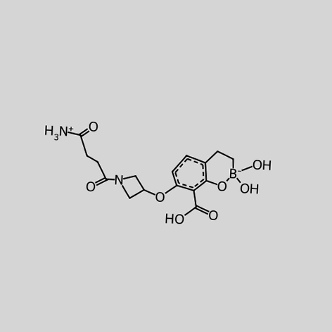 [NH3+]C(=O)CCC(=O)N1CC(Oc2ccc3c(c2C(=O)O)O[B-](O)(O)CC3)C1